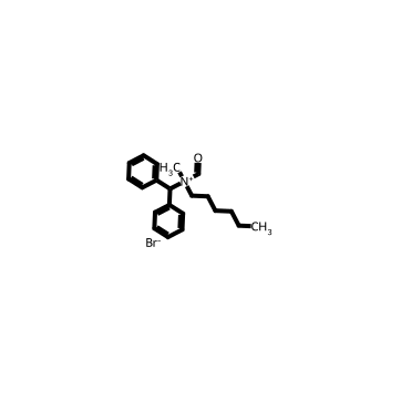 CCCCCC[N+](C)(C=O)C(c1ccccc1)c1ccccc1.[Br-]